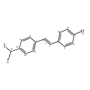 CCc1ccc(/C=C/c2ccc(C(F)F)cc2)cc1